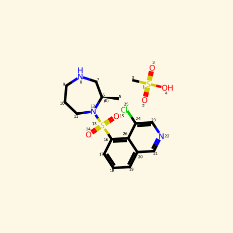 CS(=O)(=O)O.C[C@@H]1CNCCCN1S(=O)(=O)c1cccc2cncc(Cl)c12